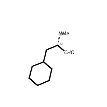 CN[C@H](C=O)CC1CCCCC1